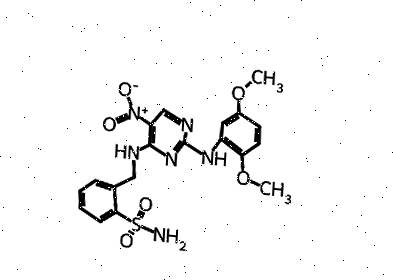 COc1ccc(OC)c(Nc2ncc([N+](=O)[O-])c(NCc3ccccc3S(N)(=O)=O)n2)c1